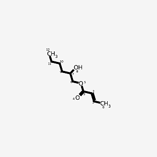 C/C=C/C(=O)OCC(O)CCCC